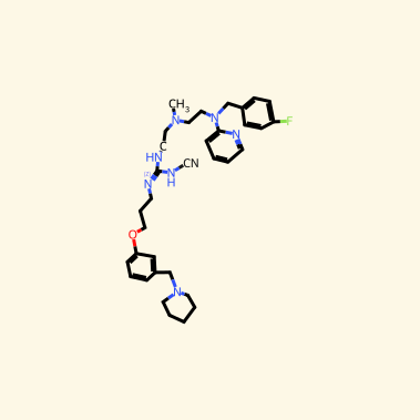 CN(CCN/C(=N/CCCOc1cccc(CN2CCCCC2)c1)NC#N)CCN(Cc1ccc(F)cc1)c1ccccn1